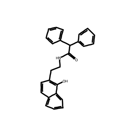 O=C(NCCc1ccc2ccccc2c1O)C(c1ccccc1)c1ccccc1